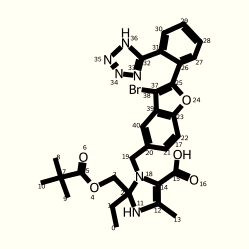 CCC1(COC(=O)C(C)(C)C)NC(C)=C(C(=O)O)N1Cc1ccc2oc(-c3ccccc3-c3nnn[nH]3)c(Br)c2c1